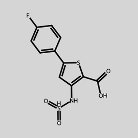 O=C(O)c1sc(-c2ccc(F)cc2)cc1N[SH](=O)=O